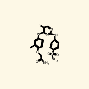 Cc1cc(Nc2nc(Nc3ccc(S(N)(=O)=O)cc3)ncc2F)ccc1OCC(N)=O